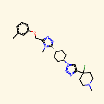 Cc1cccc(OCc2nnc([C@H]3CC[C@H](n4cc(C5(F)CCN(C)CC5)nn4)CC3)n2C)c1